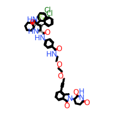 O=C1CCC(N2Cc3c(C#CCOCCOCCNC(=O)c4ccc(NC(=O)[C@@H]5NC6(CCCCC6)[C@@]6(C(=O)Nc7cc(Cl)ccc76)[C@H]5c5cccc(Cl)c5F)cc4)cccc3C2=O)C(=O)N1